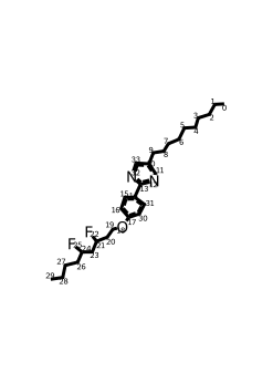 CCCCCCCCCCc1cnc(-c2ccc(OCCC(F)CC(F)CCCC)cc2)nc1